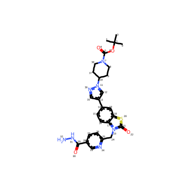 CC(C)(C)OC(=O)N1CCC(n2cc(-c3ccc4c(c3)sc(=O)n4Cc3ccc(C(=O)NN)cn3)cn2)CC1